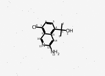 CC(C)(O)c1ccc(Cl)c2cnc(N)cc12